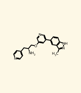 Cc1n[nH]c2ccc(-c3cncc(OC[C@@H](N)Cc4ccncc4)c3)cc12